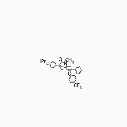 CC(C)Cc1ccc([C@H](C)C(=O)N(C)CC[C@H](Oc2ccc(C(F)(F)F)cc2)c2ccccc2)cc1